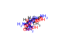 C[C@H](NC(=O)[C@H](C)NC(=O)[C@H](CC(N)=O)NC(=O)[C@H](CC(=O)O)NC(=O)[C@@H](N)CO)C(=O)N[C@@H](C)C(=O)N[C@@H](CC(N)=O)C(=O)O